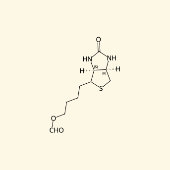 O=COCCCCC1SC[C@@H]2NC(=O)N[C@H]12